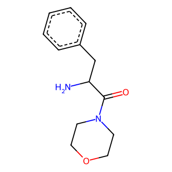 NC(Cc1ccccc1)C(=O)N1CCOCC1